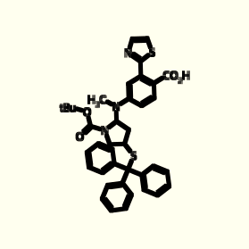 CN(c1ccc(C(=O)O)c(-c2nccs2)c1)C1CC(SC(c2ccccc2)(c2ccccc2)c2ccccc2)CN1C(=O)OC(C)(C)C